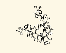 Cc1ccc2c(NC(=O)C3CCC3)c(F)ccc2c1Oc1ncccc1-c1ccnc(N[C@H]2CCCN(C(=O)OC(C)(C)C)C2)n1